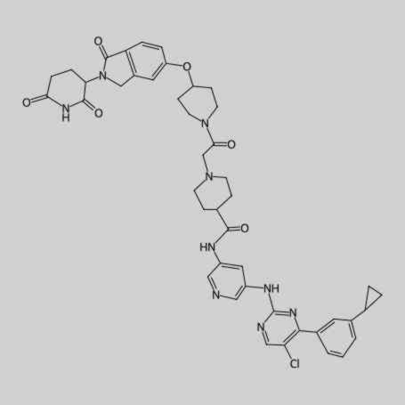 O=C1CCC(N2Cc3cc(OC4CCN(C(=O)CN5CCC(C(=O)Nc6cncc(Nc7ncc(Cl)c(-c8cccc(C9CC9)c8)n7)c6)CC5)CC4)ccc3C2=O)C(=O)N1